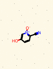 N#Cc1ccc(O)c[n+]1[O-]